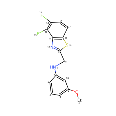 CCOc1cccc(NCc2nc3c(F)c(F)ccc3s2)c1